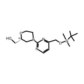 CC(C)(C)[Si](C)(C)OCc1ccnc(N2CCO[C@@H](CO)C2)n1